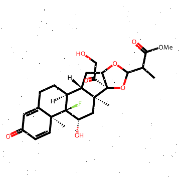 COC(=O)C(C)C1OC2C[C@H]3[C@@H]4CCC5=CC(=O)C=C[C@]5(C)[C@@]4(F)[C@@H](O)C[C@]3(C)[C@]2(C(=O)CO)O1